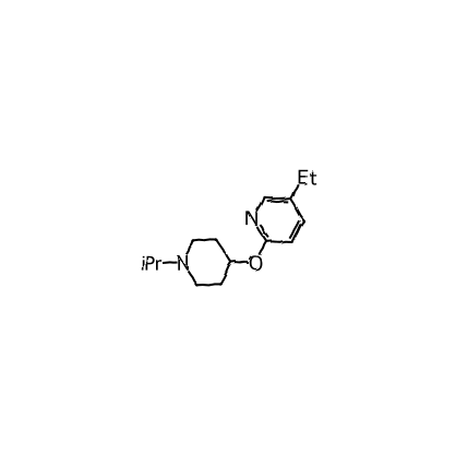 CCc1ccc(OC2CCN(C(C)C)CC2)nc1